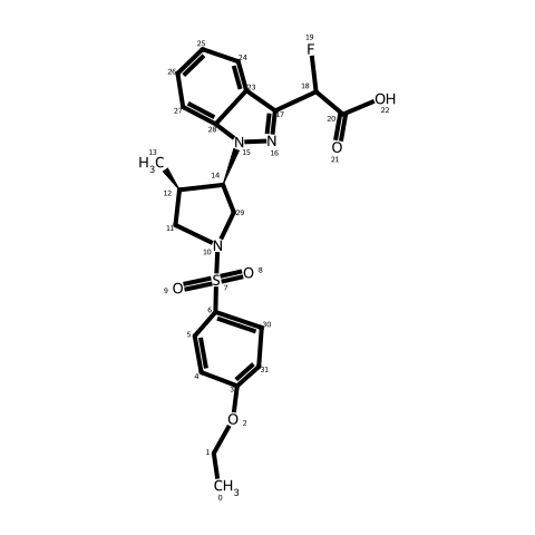 CCOc1ccc(S(=O)(=O)N2C[C@@H](C)[C@@H](n3nc(C(F)C(=O)O)c4ccccc43)C2)cc1